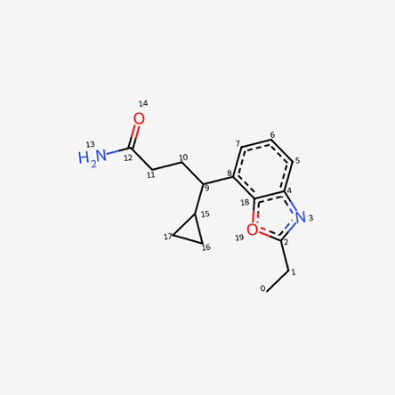 CCc1nc2cccc(C(CCC(N)=O)C3CC3)c2o1